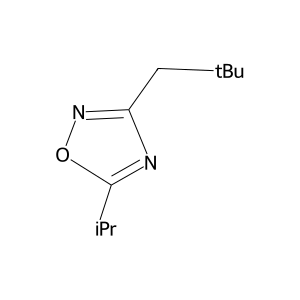 CC(C)c1nc(CC(C)(C)C)no1